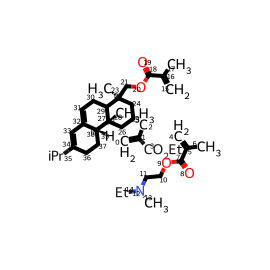 C=C(C)C(=O)OCC.C=C(C)C(=O)OCCN(C)CC.C=C(C)C(=O)OC[C@@]1(C)CCC[C@@]2(C)C1CC=C1C=C(C(C)C)CC[C@H]12